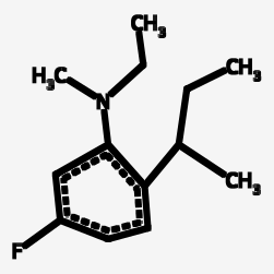 CCC(C)c1ccc(F)cc1N(C)CC